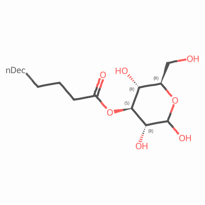 CCCCCCCCCCCCCC(=O)O[C@H]1[C@H](O)[C@@H](CO)OC(O)[C@@H]1O